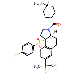 O=C([C@H]1CC[C@](F)(C(=O)O)CC1)N1CC[C@]2(S(=O)(=O)c3ccc(F)cc3)c3ccc(C(F)(C(F)(F)F)C(F)(F)F)cc3CC[C@H]12